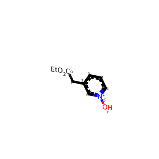 CCOC(=O)Cc1ccc[n+](O)c1